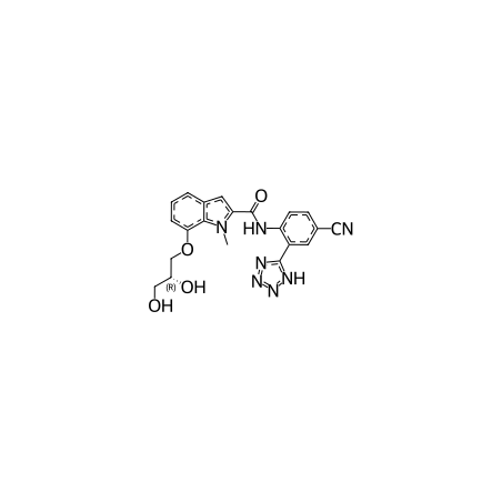 Cn1c(C(=O)Nc2ccc(C#N)cc2-c2nnn[nH]2)cc2cccc(OC[C@H](O)CO)c21